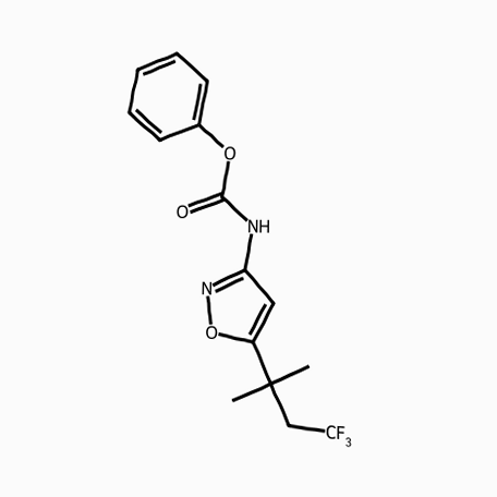 CC(C)(CC(F)(F)F)c1cc(NC(=O)Oc2ccccc2)no1